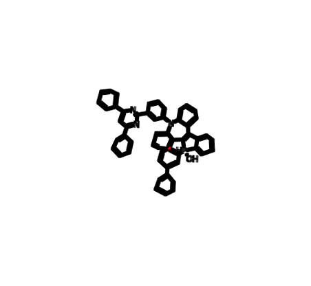 O[PH]1(c2cccc(-c3ccccc3)c2)C2=C(c3ccccc3N(c3cccc(-c4nc(-c5ccccc5)cc(-c5ccccc5)n4)c3)c3ccccc32)c2ccccc21